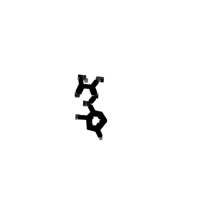 N#CC(=NNc1ccc(I)cc1F)C(N)=O